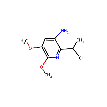 COc1cc(N)c(C(C)C)nc1OC